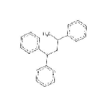 CC(C[C](c1ccccc1)c1ccccc1)c1ccccc1